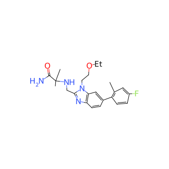 CCOCCn1c(CNC(C)(C)C(N)=O)nc2ccc(-c3ccc(F)cc3C)cc21